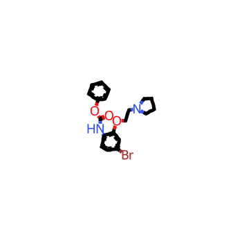 O=C(Nc1ccc(Br)cc1OCCN1CCCC1)Oc1ccccc1